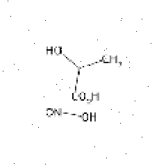 CC(O)C(=O)O.O=NO